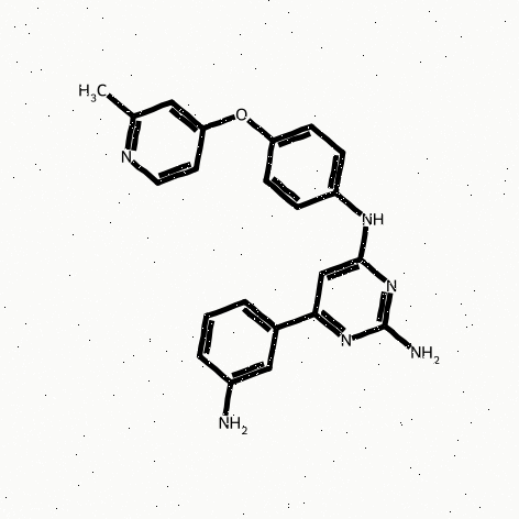 Cc1cc(Oc2ccc(Nc3cc(-c4cccc(N)c4)nc(N)n3)cc2)ccn1